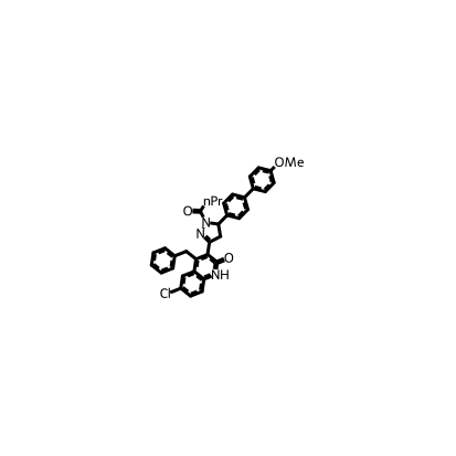 CCCC(=O)N1N=C(c2c(Cc3ccccc3)c3cc(Cl)ccc3[nH]c2=O)CC1c1ccc(-c2ccc(OC)cc2)cc1